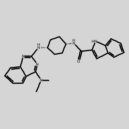 CN(C)c1nc(N[C@H]2CC[C@@H](NC(=O)c3cc4ccccc4[nH]3)CC2)nc2ccccc12